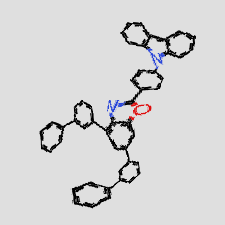 c1ccc(-c2cccc(-c3cc(-c4cccc(-c5ccccc5)c4)c4nc(-c5ccc(-n6c7ccccc7c7ccccc76)cc5)oc4c3)c2)cc1